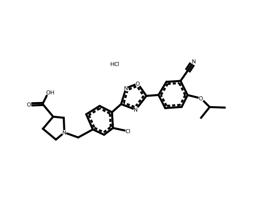 CC(C)Oc1ccc(-c2nc(-c3ccc(CN4CCC(C(=O)O)C4)cc3Cl)no2)cc1C#N.Cl